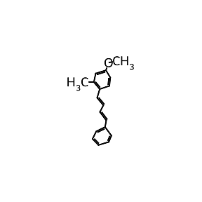 COc1ccc(/C=C/C=C/c2ccccc2)c(C)c1